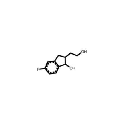 OCCC1Cc2cc(F)ccc2C1O